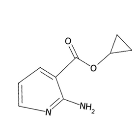 Nc1ncccc1C(=O)OC1CC1